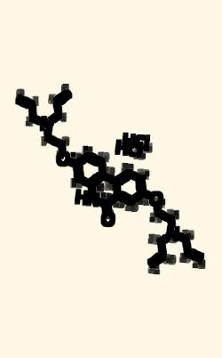 C=CCN(CC=C)CCOc1ccc2c(c1)[nH]c(=O)c1cc(OCCN(CC=C)CC=C)ccc12.Cl.Cl